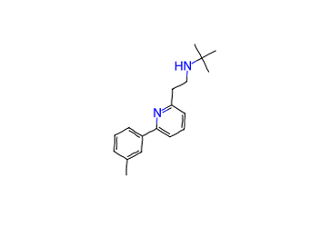 Cc1cccc(-c2cccc(CCNC(C)(C)C)n2)c1